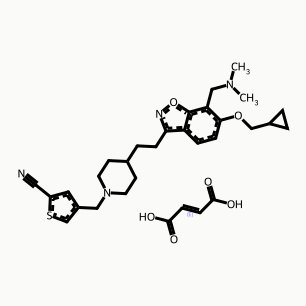 CN(C)Cc1c(OCC2CC2)ccc2c(CCC3CCN(Cc4csc(C#N)c4)CC3)noc12.O=C(O)/C=C/C(=O)O